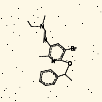 CCN(C)/C=N/c1cc(Br)c(OC(C)c2ccccc2)nc1C